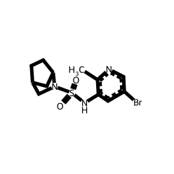 Cc1ncc(Br)cc1NS(=O)(=O)N1CC2CCC1C2